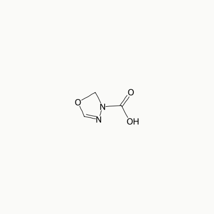 O=C(O)N1COC=N1